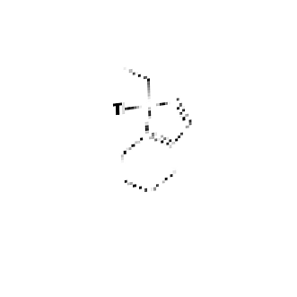 CC[C]1([Ti])C=CC2=C1CCCC2